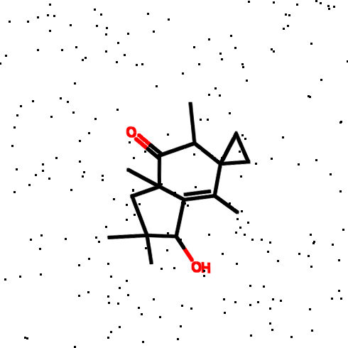 CC1=C2C(O)C(C)(C)CC2(C)C(=O)C(C)C12CC2